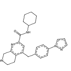 O=C(NC1CCCCC1)c1cc(Cc2ccc(-n3cccn3)cc2)c2c(n1)CNCC2